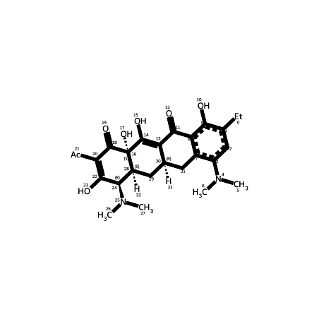 CCc1cc(N(C)C)c2c(c1O)C(=O)C1=C(O)[C@]3(O)C(=O)C(C(C)=O)=C(O)[C@H](N(C)C)[C@@H]3C[C@@H]1C2